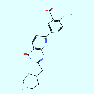 COc1ccc(-c2ccc3c(=O)[nH]c(CC4CCOCC4)nc3n2)cc1C(=O)O